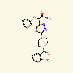 NC(=O)C(Oc1ccccc1)c1ccc(N2CCN(C(=O)c3ccccc3C(F)(F)F)CC2)nn1